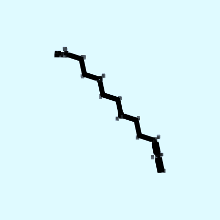 C=[N+]=NCCOCCOCCSC